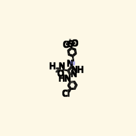 CS(=O)(=O)c1ccc(/C=N/c2[nH]nc(Nc3cccc(Cl)c3)c2C(N)=O)cc1